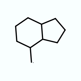 [CH2]C1CCCC2CCCC12